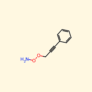 NOOCC#Cc1ccccc1